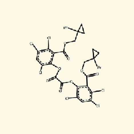 CC(C)C1(COC(=O)c2c(Cl)c(Cl)cc(Cl)c2OC(=O)C(=O)Oc2c(Cl)cc(Cl)c(Cl)c2C(=O)OCC2(C(C)C)CC2)CC1